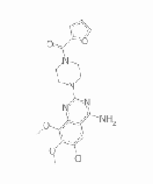 COc1c(Cl)cc2c(N)nc(N3CCN(C(=O)c4ccco4)CC3)nc2c1OC